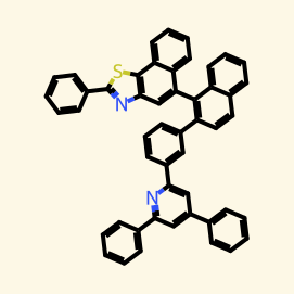 c1ccc(-c2cc(-c3ccccc3)nc(-c3cccc(-c4ccc5ccccc5c4-c4cc5nc(-c6ccccc6)sc5c5ccccc45)c3)c2)cc1